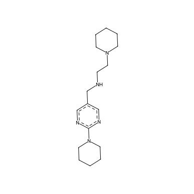 c1nc(N2CCCCC2)ncc1CNCCN1CCCCC1